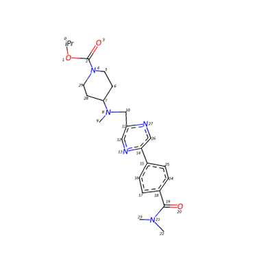 CC(C)OC(=O)N1CCC(N(C)Cc2cnc(-c3ccc(C(=O)N(C)C)cc3)cn2)CC1